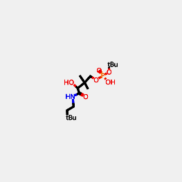 CC(C)(C)CCNC(=O)C(O)C(C)(C)COP(=O)(O)OC(C)(C)C